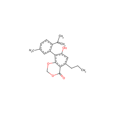 C=C(C)c1ccc(C)cc1-c1c(O)cc(CCC)c2c1OCOC2=O